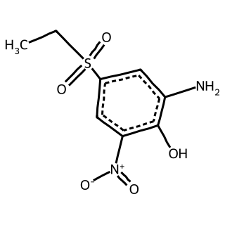 CCS(=O)(=O)c1cc(N)c(O)c([N+](=O)[O-])c1